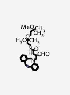 COC(C)(C)CCOC(C)(C)CCNC(=O)CC(C=O)CN1Cc2ccccc2/C=C\c2ccccc21